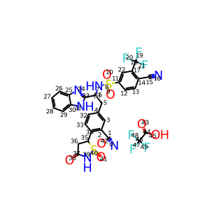 N#Cc1cc(C[C@H](NS(=O)(=O)c2ccc(C#N)c(C(F)(F)F)c2)c2nc3ccccc3[nH]2)ccc1C1CC(=O)NS1(=O)=O.O=C(O)C(F)(F)F